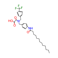 CCCCCCCCCCCCC(=O)Nc1ccc(CN(Cc2ccc(C(F)(F)F)cc2)C(=O)C(=O)O)cc1